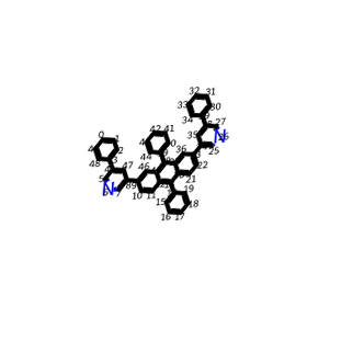 c1ccc(-c2cncc(-c3ccc4c(-c5ccccc5)c5ccc(-c6cncc(-c7ccccc7)c6)cc5c(-c5ccccc5)c4c3)c2)cc1